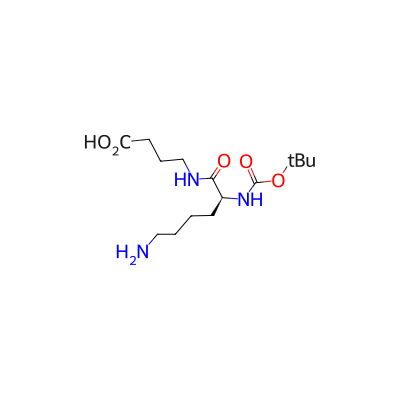 CC(C)(C)OC(=O)N[C@@H](CCCCN)C(=O)NCCCC(=O)O